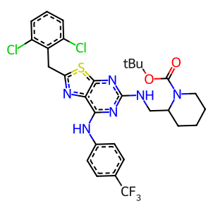 CC(C)(C)OC(=O)N1CCCCC1CNc1nc(Nc2ccc(C(F)(F)F)cc2)c2nc(Cc3c(Cl)cccc3Cl)sc2n1